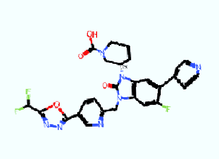 O=C(O)N1CCC[C@H](n2c(=O)n(Cc3ccc(-c4nnc(C(F)F)o4)cn3)c3cc(F)c(-c4ccncc4)cc32)C1